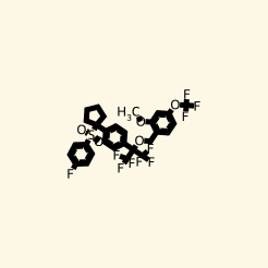 COc1cc(OC(F)(F)F)ccc1COC(c1ccc(C2(S(=O)(=O)c3ccc(F)cc3)CCCC2)cc1)(C(F)(F)F)C(F)(F)F